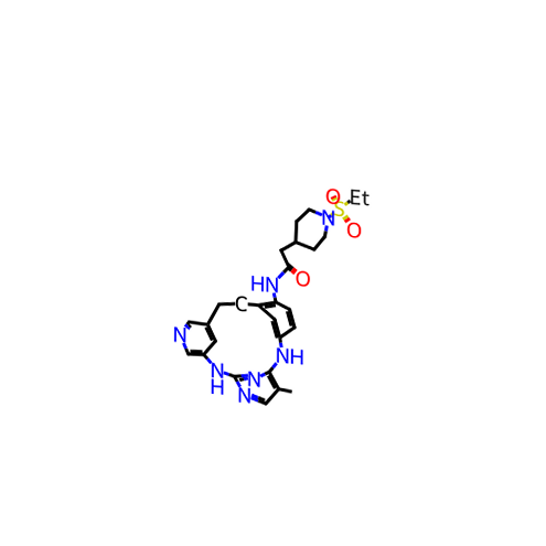 CCS(=O)(=O)N1CCC(CC(=O)Nc2ccc3cc2CCc2cncc(c2)Nc2ncc(C)c(n2)N3)CC1